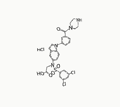 Cl.O=C(O)CN(c1ccc2c(ccn2-c2cccc(C(=O)N3CCNCC3)c2)c1)S(=O)(=O)c1cc(Cl)cc(Cl)c1